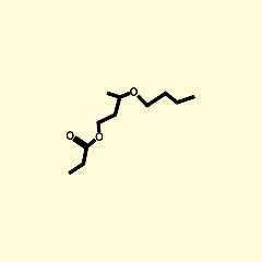 CCCCOC(C)CCOC(=O)CC